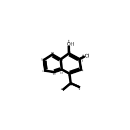 CC(C)c1cc(Cl)c(O)c2ccccc12